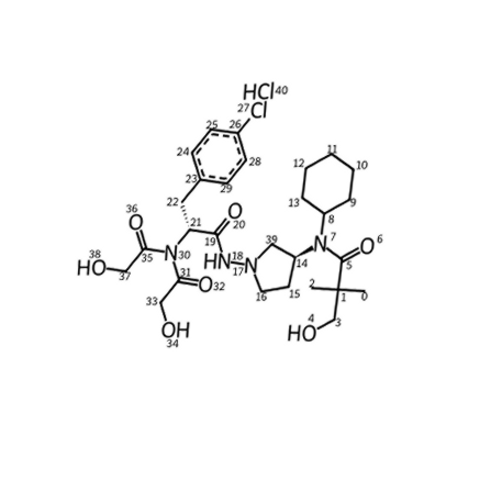 CC(C)(CO)C(=O)N(C1CCCCC1)[C@H]1CCN(NC(=O)[C@@H](Cc2ccc(Cl)cc2)N(C(=O)CO)C(=O)CO)C1.Cl